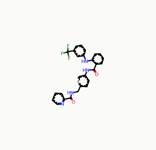 O=C(NCc1ccc(NC(=O)c2ccccc2Nc2cccc(C(F)(F)F)c2)cc1)c1ccccn1